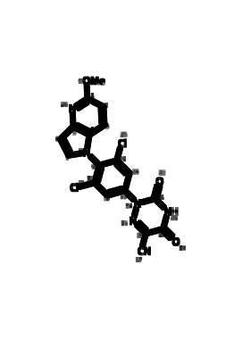 COc1ccc2c(ccn2-c2c(Cl)cc(-n3nc(C#N)c(=O)[nH]c3=O)cc2Cl)n1